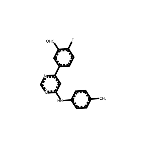 Cc1ccc(Nc2cc(-c3ccc(F)c(C=O)c3)ncn2)cc1